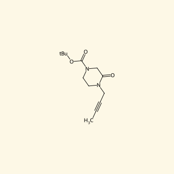 CC#CCN1CCN(C(=O)OC(C)(C)C)CC1=O